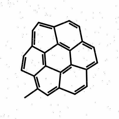 Cc1cc2ccc3ccc4ccc5ccc6ccc1c1c6c5c4c3c21